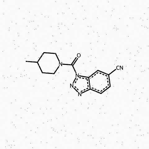 CC1CCN(C(=O)n2nnc3ccc(C#N)cc32)CC1